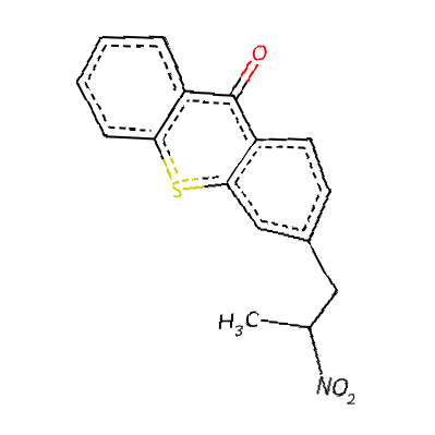 CC(Cc1ccc2c(=O)c3ccccc3sc2c1)[N+](=O)[O-]